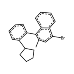 Cc1cc(Br)c2ccccc2c1-c1ccccc1C1CCCC1